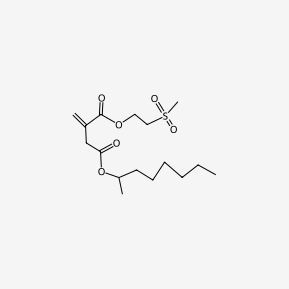 C=C(CC(=O)OC(C)CCCCCC)C(=O)OCCS(C)(=O)=O